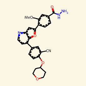 COc1cc(C(=O)NN)ccc1-c1cc2nccc(-c3ccc(OC4CCOCC4)c(C#N)c3)c2o1